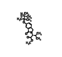 COC(=O)[C@H](C(C)C)N1Cc2ccc(O[Si](C)(C)C(C)(C)C)cc2C1=O